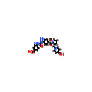 O=C(Nc1ccc(CO)cc1)Nc1ccc(S(=O)(=O)N2CCC[C@@H]2CN2CCC(O)CC2)cc1